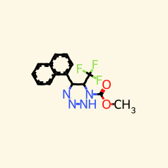 COC(=O)N1NN=NC(c2cccc3ccccc23)C1C(F)(F)F